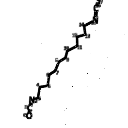 O=C=NCCCCCCCCCCCCN=C=S